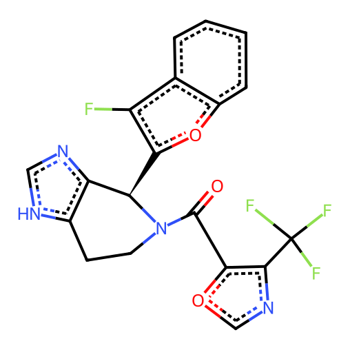 O=C(c1ocnc1C(F)(F)F)N1CCc2[nH]cnc2[C@H]1c1oc2ccccc2c1F